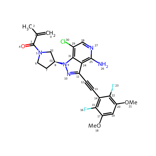 C=C(C)C(=O)N1CC[C@H](n2nc(C#Cc3c(F)c(OC)cc(OC)c3F)c3c(N)ncc(Cl)c32)C1